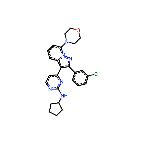 Clc1cccc(-c2nn3c(N4CCOCC4)cccc3c2-c2ccnc(NC3CCCC3)n2)c1